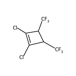 FC(F)(F)C1C(Cl)=C(Cl)C1C(F)(F)F